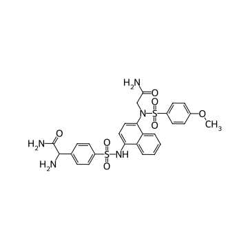 COc1ccc(S(=O)(=O)N(CC(N)=O)c2ccc(NS(=O)(=O)c3ccc(C(N)C(N)=O)cc3)c3ccccc23)cc1